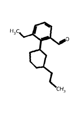 CCCC1CCCC(c2c(C=O)cccc2CC)C1